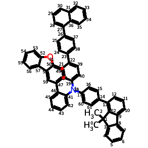 CC1(C)c2ccccc2-c2cccc(-c3ccc(N(c4ccc(-c5ccc(-c6cccc7ccccc67)cc5)cc4)c4ccccc4-c4ccc5oc6ccccc6c5c4)cc3)c21